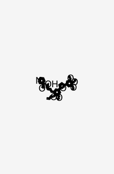 CCCOc1c(C/C=C/N(O)C(=O)c2cccnc2)cc(C2CCC(c3cc(OC)c(OC)c(OC)c3)O2)cc1OC